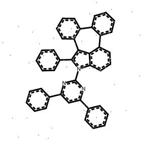 c1ccc(-c2cc(-c3ccccc3)nc(-n3c(-c4ccccc4)c4c5c(cccc53)-c3ccccc3-c3ccccc3-4)n2)cc1